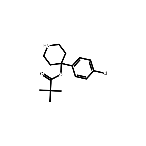 CC(C)(C)C(=O)OC1(c2ccc(Cl)cc2)CCNCC1